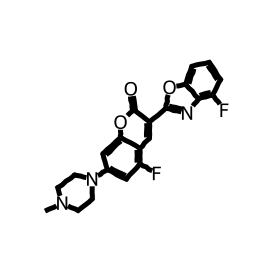 CN1CCN(c2cc(F)c3cc(-c4nc5c(F)cccc5o4)c(=O)oc3c2)CC1